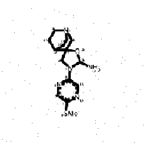 CSc1cnc(N2CC3(CN4CCC3CC4)OC2N)cn1